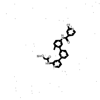 COCC(=O)Nc1cc(-c2cccc(-c3cc(NC(=O)c4ccnc(C(F)(F)F)c4)ccc3C)c2)ccn1